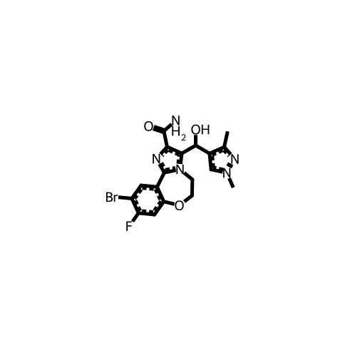 Cc1nn(C)cc1C(O)c1c(C(N)=O)nc2n1CCOc1cc(F)c(Br)cc1-2